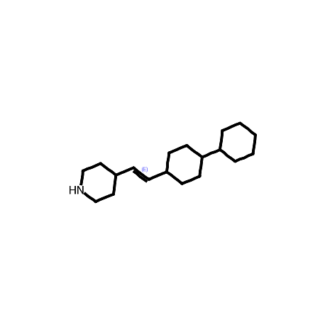 C(=C\C1CCC(C2CCCCC2)CC1)/C1CCNCC1